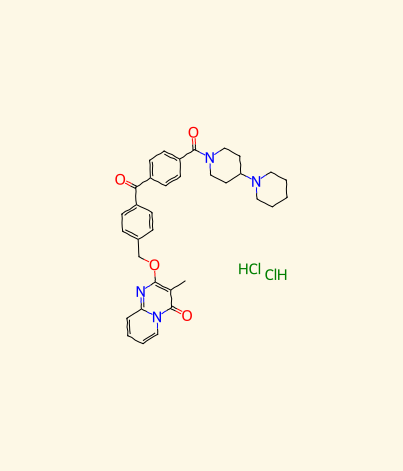 Cc1c(OCc2ccc(C(=O)c3ccc(C(=O)N4CCC(N5CCCCC5)CC4)cc3)cc2)nc2ccccn2c1=O.Cl.Cl